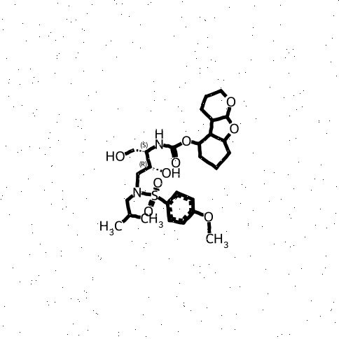 COc1ccc(S(=O)(=O)N(CC(C)C)C[C@@H](O)[C@H](CO)NC(=O)OC2CCCC3OC4OCCCC4C23)cc1